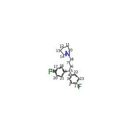 Fc1ccc(C(CCCN2CC[CH]CC2)c2ccc(F)cc2)cc1